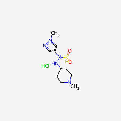 CN1CCC(NN(c2cnn(C)c2)[SH](=O)=O)CC1.Cl